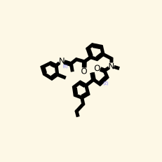 C=C(/C=C\C(=O)N(C)Cc1cccc(C(=O)C/C(C)=N/c2ccccc2C)c1)c1cccc(CCC)c1